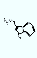 NCc1[c][nH]c2ccccc12